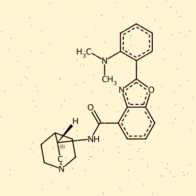 CN(C)c1ccccc1-c1nc2c(C(=O)N[C@@H]3CN4CCC3CC4)cccc2o1